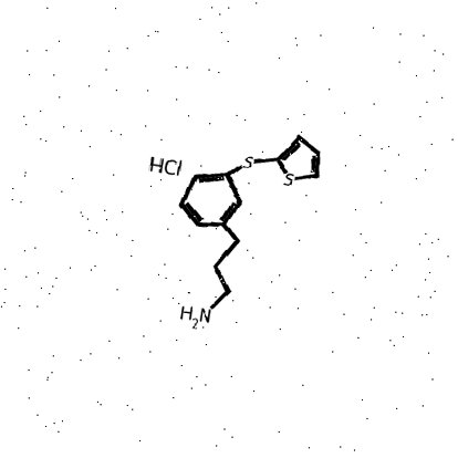 Cl.NCCCc1cccc(Sc2cccs2)c1